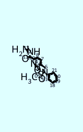 CS(=O)(=O)N(Cc1ccc(C(=O)NN)nn1)c1ccccc1